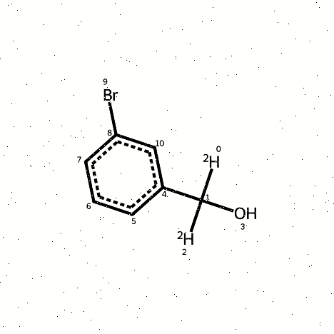 [2H]C([2H])(O)c1cccc(Br)c1